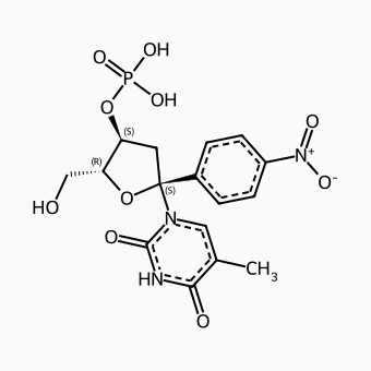 Cc1cn([C@@]2(c3ccc([N+](=O)[O-])cc3)C[C@H](OP(=O)(O)O)[C@@H](CO)O2)c(=O)[nH]c1=O